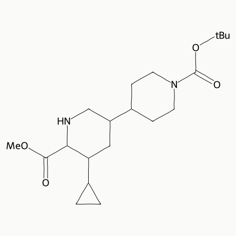 COC(=O)C1NCC(C2CCN(C(=O)OC(C)(C)C)CC2)CC1C1CC1